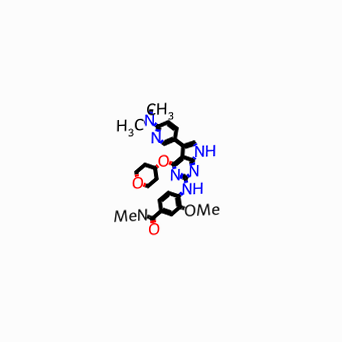 CNC(=O)c1ccc(Nc2nc(OC3CCOCC3)c3c(-c4ccc(N(C)C)nc4)c[nH]c3n2)c(OC)c1